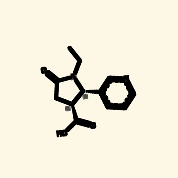 CCN1C(=O)C[C@H](C(=O)O)[C@H]1c1cccnc1